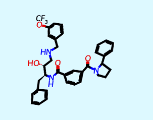 O=C(N[C@@H](Cc1ccccc1)[C@H](O)CNCc1cccc(OC(F)(F)F)c1)c1cccc(C(=O)N2CCCC2c2ccccc2)c1